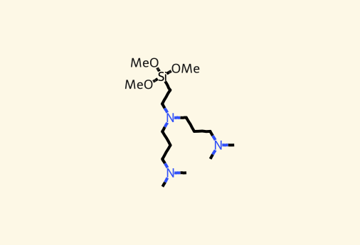 CO[Si](CCN(CCCN(C)C)CCCN(C)C)(OC)OC